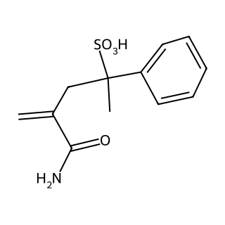 C=C(CC(C)(c1ccccc1)S(=O)(=O)O)C(N)=O